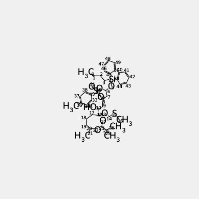 CCCC[Si](OC(CCCC(O)C1(OCSC)CCCC(C)OC(C(C)C)O1)OS(=O)(=O)c1ccc(C)cc1)(c1ccccc1)c1ccccc1